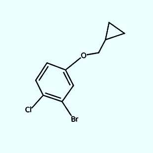 Clc1ccc(OCC2CC2)cc1Br